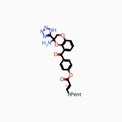 CCCCC/C=C/C(=O)Oc1ccc(C(=O)c2cccc3c2OC(N)(c2nnn[nH]2)CO3)cc1